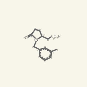 Cc1cccc(CN2C(=O)CCC2CC(=O)O)c1